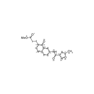 COC(=O)CCn1cnc2ccc(NC(=O)c3cc(C)on3)cc2c1=O